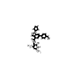 Cc1cc(C)c(CNC(=O)c2cc(-c3ccc(CBr)cc3)cc3c2cnn3C2CCCC2)c(=O)[nH]1